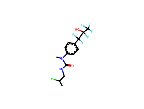 CC(Cl)CNC(=O)N(C)c1ccc(C(F)(F)C(O)(F)C(F)(F)F)cc1